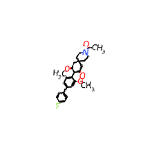 COc1cc(-c2ccc(F)cc2)cc(C)c1C1C(=O)CC2(CCN(C(C)=O)CC2)CC1=O